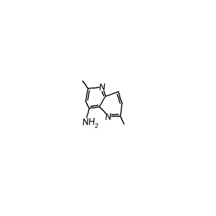 Cc1cc(N)c2nc(C)ccc2n1